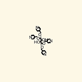 O[C@@H]([C@H](O)[C@@H](COCc1ccncc1)OCc1ccncc1)[C@@H](COCc1ccncc1)OCc1ccncc1